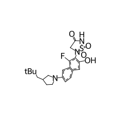 CC(C)(C)CC1CCN(c2ccc3cc(O)c(N4CC(=O)NS4(=O)=O)c(F)c3c2)C1